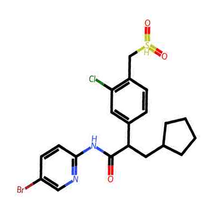 O=C(Nc1ccc(Br)cn1)C(CC1CCCC1)c1ccc(C[SH](=O)=O)c(Cl)c1